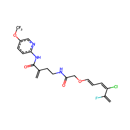 C=C(CCNC(=O)CO/C=C/C=C(/Cl)C(=C)F)C(=O)Nc1ccc(OC(F)(F)F)cn1